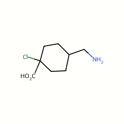 NCC1CCC(Cl)(C(=O)O)CC1